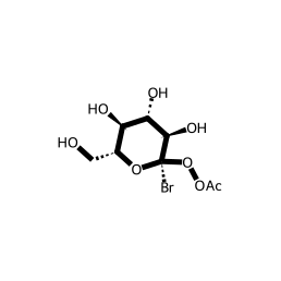 CC(=O)OO[C@@]1(Br)O[C@H](CO)[C@@H](O)[C@H](O)[C@H]1O